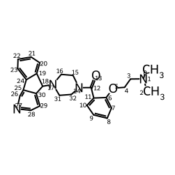 CN(C)CCOc1ccccc1C(=O)N1CCN(C2c3ccccc3-c3cnccc32)CC1